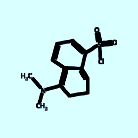 CN(C)C1=c2cccc(S(=O)(=O)Cl)c2=CCC1